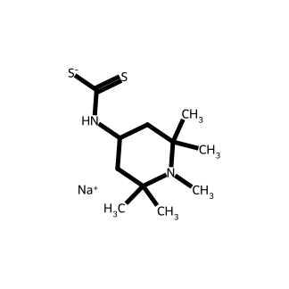 CN1C(C)(C)CC(NC(=S)[S-])CC1(C)C.[Na+]